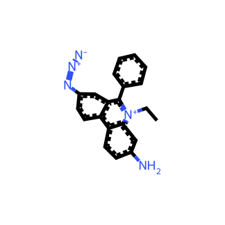 CC[n+]1c(-c2ccccc2)c2cc(N=[N+]=[N-])ccc2c2ccc(N)cc21